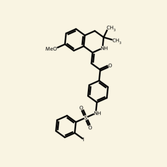 COc1ccc2c(c1)C(=CC(=O)c1ccc(NS(=O)(=O)c3ccccc3I)cc1)NC(C)(C)C2